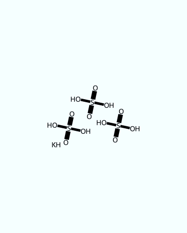 O=S(=O)(O)O.O=S(=O)(O)O.O=S(=O)(O)O.[KH]